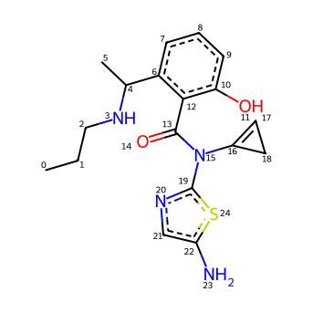 CCCNC(C)c1cccc(O)c1C(=O)N(C1=CC1)c1ncc(N)s1